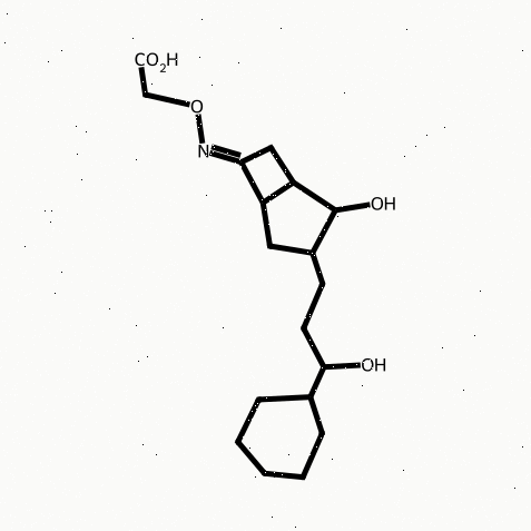 O=C(O)CON=C1CC2C1CC(CCC(O)C1CCCCC1)C2O